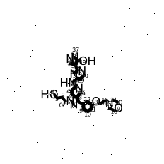 C[C@@H](CCO)n1nc(-c2cccc(OCCN3CCOCC3)c2)c2cnc(Nc3ccnc(-c4cnn(C)c4O)n3)cc21